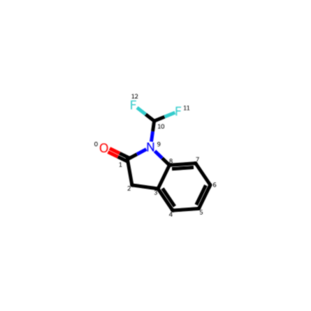 O=C1Cc2cc[c]cc2N1C(F)F